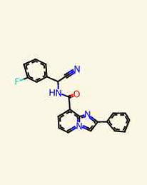 N#CC(NC(=O)c1cccn2cc(-c3ccccc3)nc12)c1cccc(F)c1